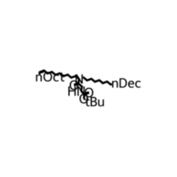 CCCCCCCC/C=C\CCCCCCCCN(CCCCCCCCCCCCCCCCCC)C(=O)CNC(=O)OC(C)(C)C